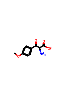 COc1ccc(C(=O)C(N)C(=O)O)cc1